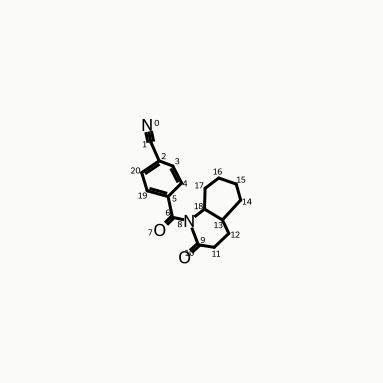 N#Cc1ccc(C(=O)N2C(=O)CCC3CCCCC32)cc1